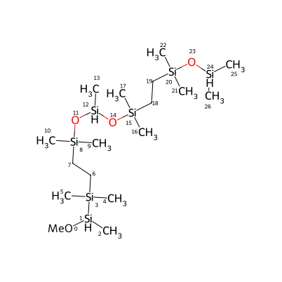 CO[SiH](C)[Si](C)(C)CC[Si](C)(C)O[SiH](C)O[Si](C)(C)CC[Si](C)(C)O[SiH](C)C